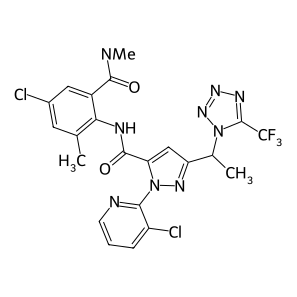 CNC(=O)c1cc(Cl)cc(C)c1NC(=O)c1cc(C(C)n2nnnc2C(F)(F)F)nn1-c1ncccc1Cl